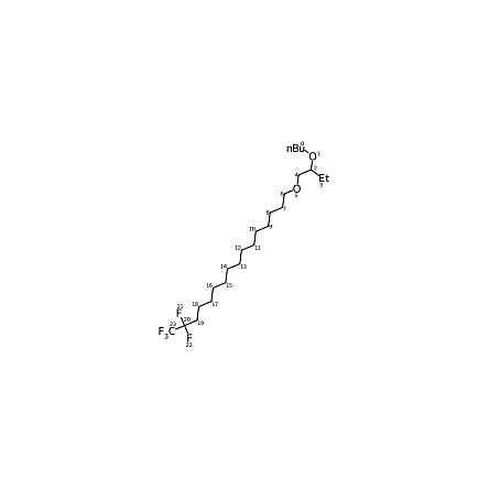 CCCCOC(CC)COCCCCCCCCCCCCCCC(F)(F)C(F)(F)F